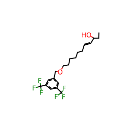 CCC(O)C=CCCCCCCOCc1cc(C(F)(F)F)cc(C(F)(F)F)c1